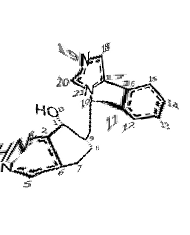 O[C@H]1c2[nH]ncc2CC[C@H]1[C@@H]1c2ccccc2-c2cncn21